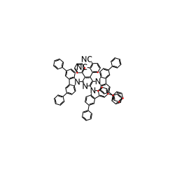 N#Cc1cccc(-c2c(-c3ccccc3)c(-n3c4ccc(-c5ccccc5)cc4c4cc(-c5ccccc5)ccc43)nc(-n3c4ccc(-c5ccccc5)cc4c4cc(-c5ccccc5)ccc43)c2-n2c3ccc(-c4ccccc4)cc3c3cc(-c4ccccc4)ccc32)c1C#N